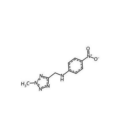 Cn1nnc(CNc2ccc([N+](=O)[O-])cc2)n1